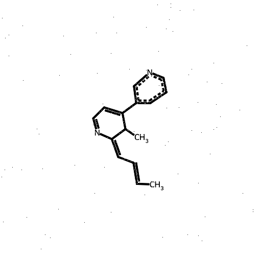 C/C=C/C=C1/N=CC=C(c2cccnc2)C1C